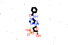 O=C(Nc1ncnc2c1nnn2[C@@H]1O[C@H](CO)[C@@H](O[PH](=O)O)[C@@H]1F)c1ccccc1